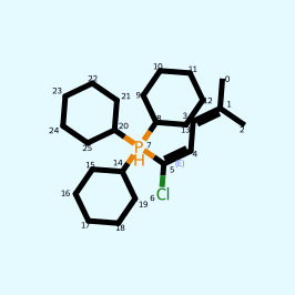 CC(C)=C/C=C(/Cl)[PH](C1CCCCC1)(C1CCCCC1)C1CCCCC1